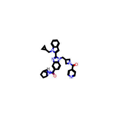 N[C@@H]1C2CCC1N(C(=O)c1ccc3c(c1)nc(-c1cc4ccccc4n1CC1CC1)n3CC1CN(C(=O)c3ccncc3)C1)C2